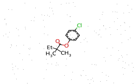 CCC(C)(C)C(=O)Oc1ccc(Cl)cc1